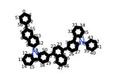 c1ccc(-c2ccc3cc(-n4c5ccccc5c5ccc(-c6ccc(-c7ccc8c(c7)c7ccccc7n8-c7ccccc7)c7ccccc67)cc54)ccc3c2)cc1